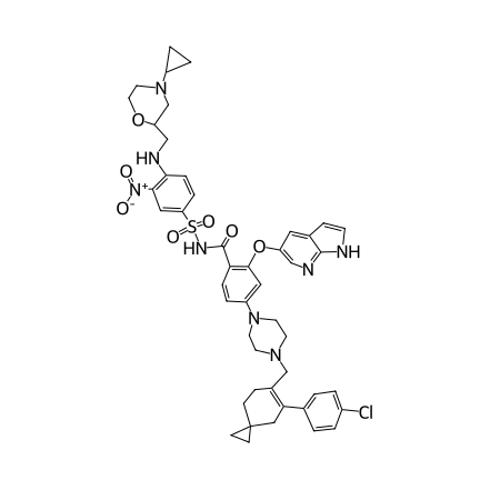 O=C(NS(=O)(=O)c1ccc(NCC2CN(C3CC3)CCO2)c([N+](=O)[O-])c1)c1ccc(N2CCN(CC3=C(c4ccc(Cl)cc4)CC4(CC3)CC4)CC2)cc1Oc1cnc2[nH]ccc2c1